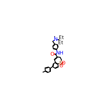 CCC(CC)N(C)Cc1ccc(NC(=O)C2=Cc3cc(-c4ccc(C)cc4)ccc3S(=O)(=O)CC2)cc1